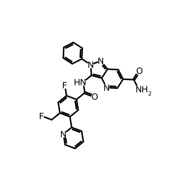 NC(=O)c1cnc2c(NC(=O)c3cc(-c4ccccn4)c(CF)cc3F)n(-c3ccccc3)nc2c1